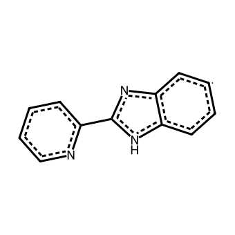 [c]1ccc2[nH]c(-c3ccccn3)nc2c1